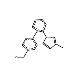 CC1=CC(c2ccccc2-c2ccc(C[O])cc2)C=C1